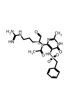 CC(=O)N(c1nc(C)[nH]c(=O)c1NS(=O)(=O)Cc1ccccc1)[C@H](C=O)CCCNC(=N)N